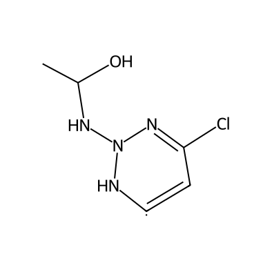 CC(O)NN1N=C(Cl)C=[C]N1